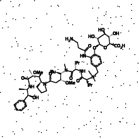 CC[C@H](C)[C@@H]([C@@H](CC(=O)N1CCC[C@H]1[C@H](OC)[C@@H](C)C(=O)N[C@H](C)[C@@H](O)c1ccccc1)OC)N(C)C(=O)[C@@H](NC(=O)[C@H](C(C)C)[N+](C)(C)Cc1ccc(O[C@@H]2O[C@H](C(=O)O)[C@@H](O)[C@H](O)[C@H]2O)c(NC(=O)CCN)c1)C(C)C